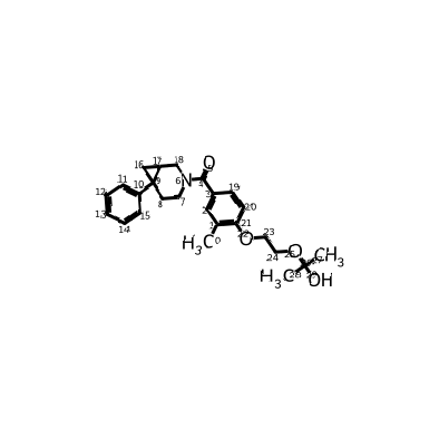 Cc1cc(C(=O)N2CCC3(c4ccccc4)CC3C2)ccc1OCCOC(C)(C)O